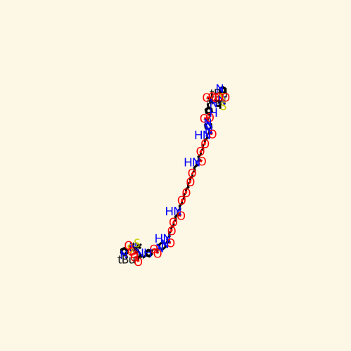 CC(C)(C)OC(=O)[C@H](Cc1ccc(OC(=O)N2CCN(C(=O)NCCOCCOCCC(=O)NCCCOCCOCCCOCCOCCCNC(=O)CCOCCOCCNC(=O)N3CCN(C(=O)Oc4ccc(C[C@H](NC(=O)[C@H]5N(S(=O)(=O)c6cccnc6)CSC5(C)C)C(=O)OC(C)(C)C)cc4)CC3)CC2)cc1)NC(=O)[C@H]1N(S(=O)(=O)c2cccnc2)CSC1(C)C